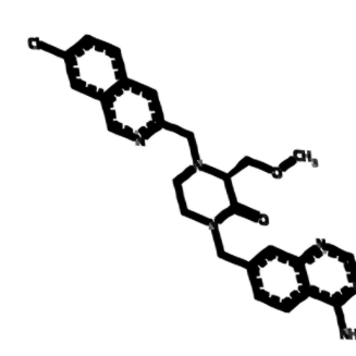 COC[C@H]1C(=O)N(Cc2ccc3c(N)ncnc3c2)CCN1Cc1cc2ccc(Cl)cc2cn1